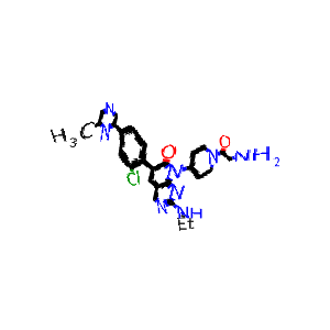 CCNc1ncc2cc(-c3ccc(-c4cncc(C)n4)cc3Cl)c(=O)n(C3CCN(C(=O)CN)CC3)c2n1